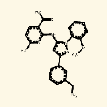 CCc1cccc(-c2cc(Nc3nc(C)ccc3C(=O)O)n(-c3ccccc3OC)n2)c1